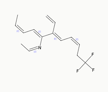 C=CC(=C\C=C/CC(F)(F)F)/C(=C/C=C\C)/N=C\C